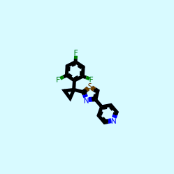 Fc1cc(F)c(C2(c3nc(-c4ccncc4)cs3)CC2)c(F)c1